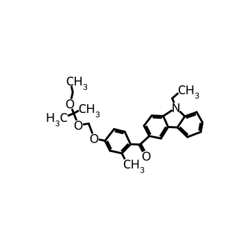 CCOC(C)(C)OCOc1ccc(C(=O)c2ccc3c(c2)c2ccccc2n3CC)c(C)c1